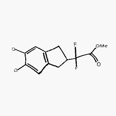 COC(=O)C(F)(F)C1Cc2cc(Cl)c(Cl)cc2C1